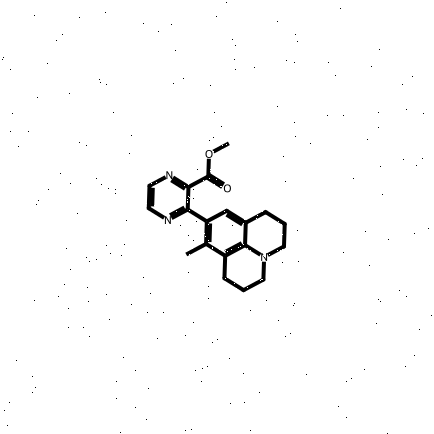 COC(=O)c1nccnc1-c1cc2c3c(c1C)CCCN3CCC2